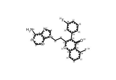 Nc1ncnc2c1ncn2CCc1oc2cccc(F)c2c(=O)c1-c1cccc(F)c1